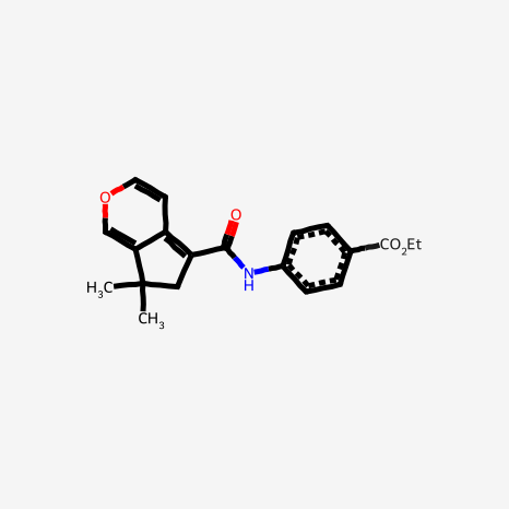 CCOC(=O)c1ccc(NC(=O)C2=C3C=COC=C3C(C)(C)C2)cc1